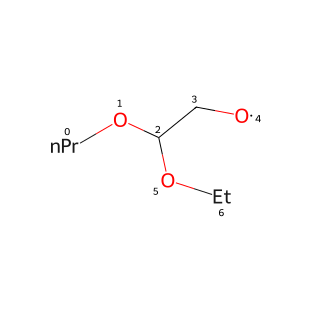 CCCOC(C[O])OCC